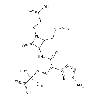 COCC1C(NC(=O)/C(=N\OC(C)(C)C(=O)O)c2csc(N)n2)C(=O)N1OCC(=O)O